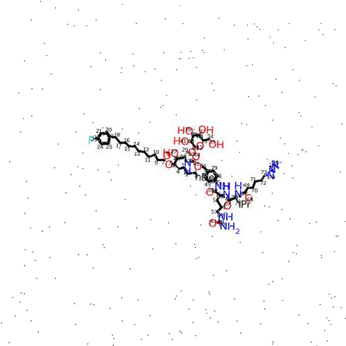 CCCCCCCCCCCCCC[C@@H](OC(=O)CCCCCCCCCCc1ccc(F)cc1)[C@@H](O)[C@H](CO[C@H]1OC(CO)[C@H](O)[C@H](O)C1O)NC(=O)OCc1ccc(NC(=O)[C@H](CCCNC(N)=O)NC(=O)[C@@H](NC(=O)CCCCCN=[N+]=[N-])C(C)C)cc1